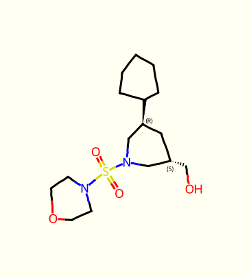 O=S(=O)(N1CCOCC1)N1C[C@@H](CO)C[C@H](C2CCCCC2)C1